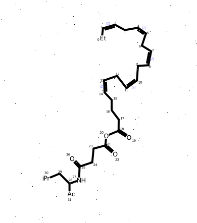 CC/C=C\C/C=C\C/C=C\C/C=C\C/C=C\CCCC(=O)OC(=O)CCC(=O)NC(CC(C)C)C(C)=O